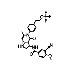 COc1ccc(C(=O)NC2CNN3C=C(C)N(c4ccc(CCOC(F)(F)F)cc4)C(=O)C23)cc1C#N